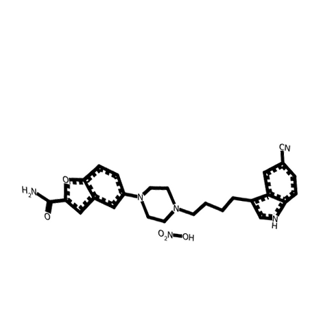 N#Cc1ccc2[nH]cc(CCCCN3CCN(c4ccc5oc(C(N)=O)cc5c4)CC3)c2c1.O=[N+]([O-])O